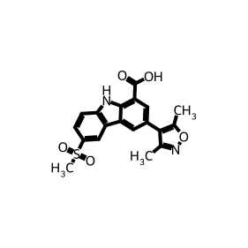 Cc1noc(C)c1-c1cc(C(=O)O)c2[nH]c3ccc(S(C)(=O)=O)cc3c2c1